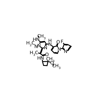 C=NN1C(NC)=CC(Nc2cccn(-c3ncccc3F)c2=O)=N/C1=C(/C)C(=O)NC1CC[C@@]1(C)OC